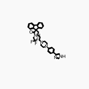 O=C(NCC(F)(F)F)C1(CCCCN2CCN(c3ccc(-c4c[nH]cn4)cc3)CC2)c2ccccc2-c2ccccc21